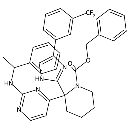 CC(Nc1nccc(C2(c3nc(-c4cccc(C(F)(F)F)c4)c[nH]3)CCCCN2C(=O)OCc2ccccc2)n1)c1ccccc1